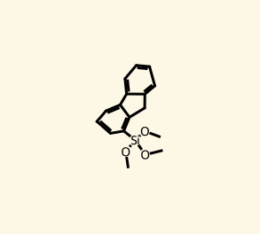 CO[Si](OC)(OC)c1cccc2c1Cc1ccccc1-2